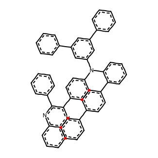 c1ccc(-c2ccc(-c3ccccc3N(c3ccc(-c4nc5ccccc5nc4-c4ccccc4)cc3)c3cc(-c4ccccc4)cc(-c4ccccc4)c3)cc2)cc1